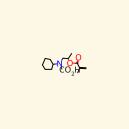 C=C(C)C(=O)OC(C)CN(C(=O)O)C1CCCCC1